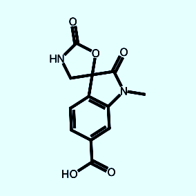 CN1C(=O)C2(CNC(=O)O2)c2ccc(C(=O)O)cc21